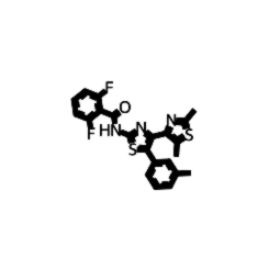 Cc1cccc(-c2sc(NC(=O)c3c(F)cccc3F)nc2-c2nc(C)sc2C)c1